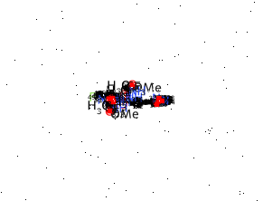 COC(=O)NC(C(=O)N[C@@H](Cc1ccc(C#Cc2ccc(N3CC4CCC(C3)N4C3COC3)nc2)cc1)[C@@H](O)CN(Cc1ccc(-c2ccc(F)cn2)cc1F)NC(=O)[C@@H](NC(=O)OC)C(C)(C)C(F)(F)F)C(C)(C)C(F)(F)F